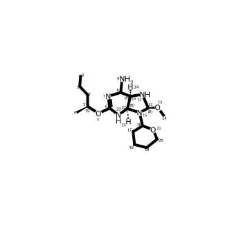 CCC[C@H](C)OC1=NC(N)[C@H]2N[C@@H](OC)N(C3CCCCO3)[C@H]2N1